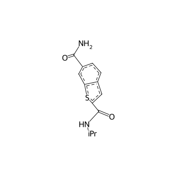 CC(C)NC(=O)c1cc2ccc(C(N)=O)cc2s1